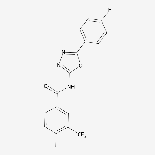 Cc1ccc(C(=O)Nc2nnc(-c3ccc(F)cc3)o2)cc1C(F)(F)F